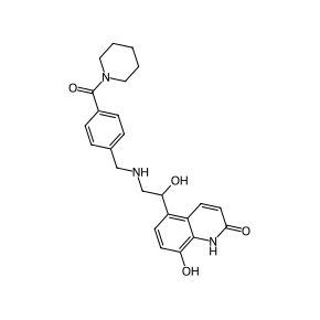 O=C(c1ccc(CNCC(O)c2ccc(O)c3[nH]c(=O)ccc23)cc1)N1CCCCC1